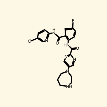 O=C(Nc1ccc(F)cc1C(=O)Nc1ccc(Cl)cn1)c1ncc(N2CCCNCC2)cn1